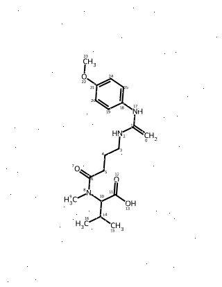 C=C(NCCCC(=O)N(C)C(C(=O)O)C(C)C)Nc1ccc(OC)cc1